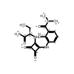 CC[C@@H](Nc1c(Nc2cccc(C(=O)N(C)C)c2O)c(=O)c1=O)C(N)=O